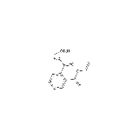 C=COC(=O)c1ccccc1C(=O)OC(C)=O.CC(=O)O